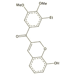 CCc1cc(C(=O)C2=Cc3cccc(O)c3OC2)cc(OC)c1OC